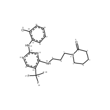 O=C1CCCCN1CCCNc1nc(Nc2ccccc2Cl)ncc1C(F)(F)F